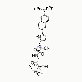 CCCN(CCC)c1ccc2cc(-c3ccc(/C=C(\C#N)S(=O)(=O)NC[C@H]4OSC[C@@H](O)[C@@H]4O)n3C)ccc2c1